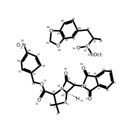 CC1(C)S[C@@H]2C(N3C(=O)c4ccccc4C3=O)C(=O)N2C1C(=O)OCc1ccc([N+](=O)[O-])cc1.CCCCCCCC[S+]([O-])C(C)Cc1ccc2c(c1)OCO2